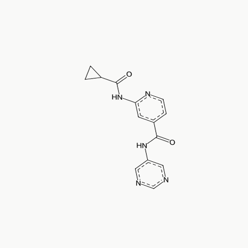 O=C(Nc1cncnc1)c1ccnc(NC(=O)C2CC2)c1